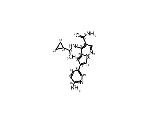 CC(Nc1c(C(N)=O)cnn2cc(-c3cnc(N)nc3)cc12)C1CC1